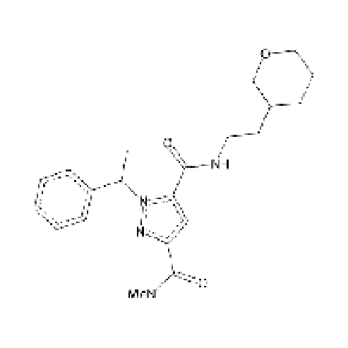 CNC(=O)c1cc(C(=O)NCCC2CCCOC2)n(C(C)c2ccccc2)n1